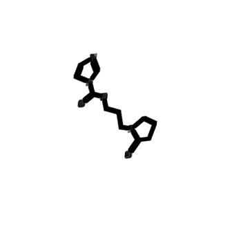 O=C1CCCN1CCCOC(=O)n1ccnc1